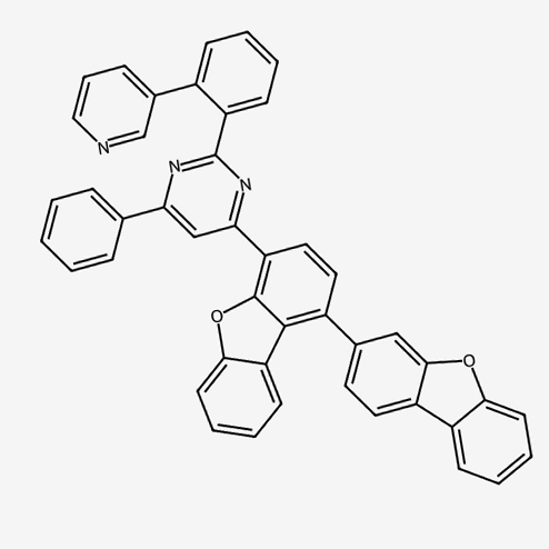 c1ccc(-c2cc(-c3ccc(-c4ccc5c(c4)oc4ccccc45)c4c3oc3ccccc34)nc(-c3ccccc3-c3cccnc3)n2)cc1